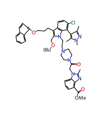 COC(=O)c1cccc2c1nc(C)n2CC(=O)N1CCN(CCn2c(COC(C)(C)C)c(CCCOc3cccc4ccccc34)c3ccc(Cl)c(-c4c(C)nn(C)c4C)c32)CC1